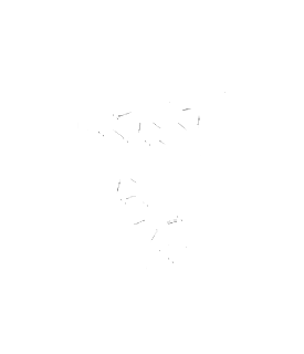 CNc1ncc2cc(-c3cc(OC)cc(OC)c3Cl)c(=O)n(CCc3ccnc(NC(=O)C(C#N)=CC(C)(C)N)c3)c2n1